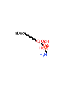 CCCCCCCCCCCCCCCCCCOC[C@H](COP(=O)(O)OCCN)OO